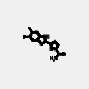 Cc1cc2[nH]c(-c3[c]cn(C(N)=O)n3)nc2cc1F